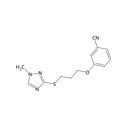 Cn1cnc(SCCCOc2cccc(C#N)c2)n1